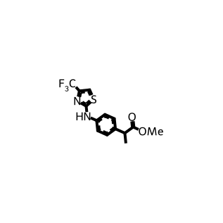 COC(=O)C(C)c1ccc(Nc2nc(C(F)(F)F)cs2)cc1